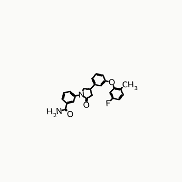 Cc1ccc(F)cc1Oc1cccc(C2CC(=O)N(c3cccc(C(N)=O)c3)C2)c1